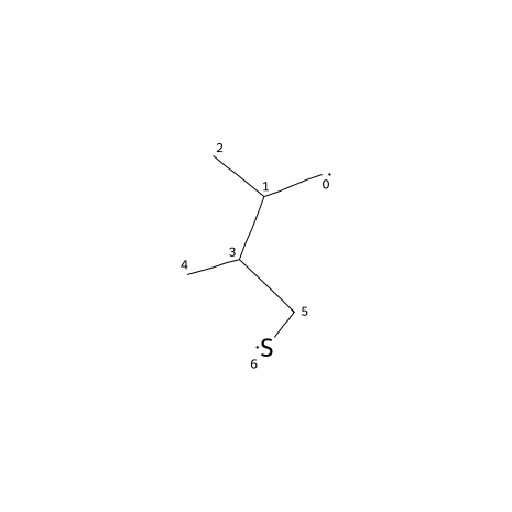 [CH2]C(C)C(C)C[S]